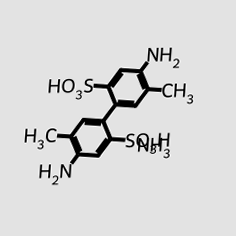 Cc1cc(-c2cc(C)c(N)cc2S(=O)(=O)O)c(S(=O)(=O)O)cc1N.N